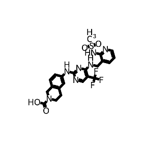 CS(=O)(=O)Nc1ncccc1CNc1nc(Nc2ccc3c(c2)CCN(C(=O)O)C3)ncc1C(F)(F)F